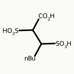 CCCCC([C](C(=O)O)S(=O)(=O)O)S(=O)(=O)O